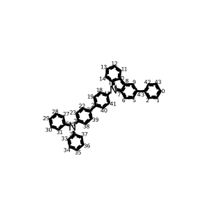 c1ccc(-c2ccc3c(c2)c2ccccc2n3-c2ccc(-c3ccc(N(c4ccccc4)c4ccccc4)cc3)cc2)cc1